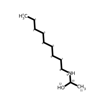 CCCCCCCCCNC(C)O